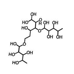 CC(O)C(O)C(O)C(O)OCCC(O)C(OC(O)C(O)C(O)C(C)O)C(O)C(O)O